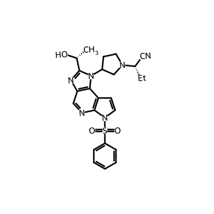 CC[C@@H](C#N)N1CCC(n2c([C@@H](C)O)nc3cnc4c(ccn4S(=O)(=O)c4ccccc4)c32)C1